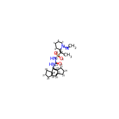 C=NN1CCCC/C1=C(/C)S(=O)(=O)NC(=O)Nc1c2c(cc3c1CCC3)CCC2